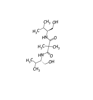 CC(C)[C@@H](CO)NC(=O)C(C)(C)C(=O)N[C@H](CO)C(C)C